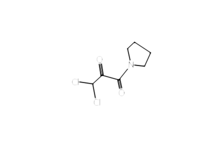 O=C(C(=O)N1CCCC1)C(Cl)Cl